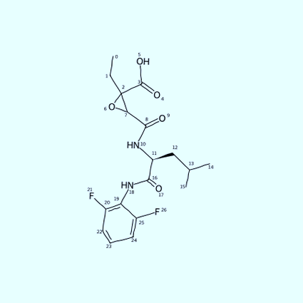 CCC1(C(=O)O)OC1C(=O)N[C@@H](CC(C)C)C(=O)Nc1c(F)cccc1F